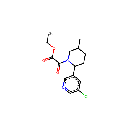 CC1CCC(c2cncc(Cl)c2)N(C(=O)C(=O)OCC(F)(F)F)C1